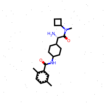 Cc1ccc(C)c(C(=O)NC2CCC([C@H](N)C(=O)N(C)C3CCC3)CC2)c1